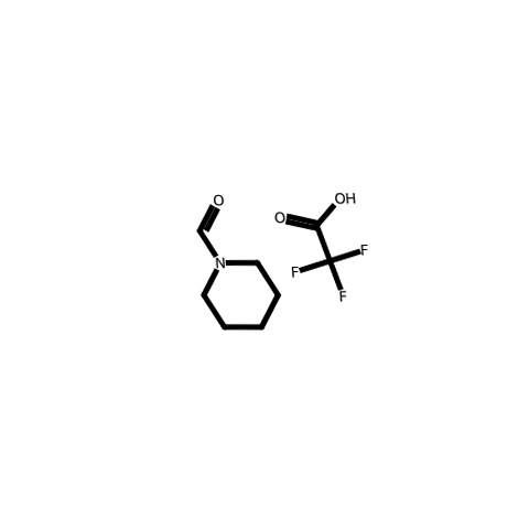 O=C(O)C(F)(F)F.O=CN1CCCCC1